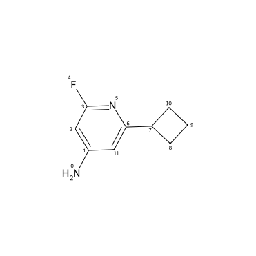 Nc1cc(F)nc(C2CCC2)c1